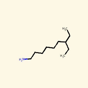 CCC(CC)CCCCCCN